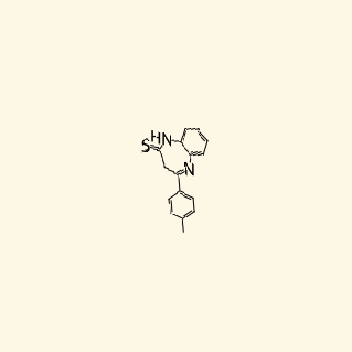 Cc1ccc(C2=Nc3ccccc3NC(=S)C2)cc1